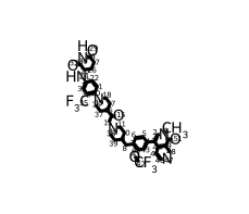 Cn1cc(-c2ccc(CC3CCN(CC(=O)C4CCN(c5ccc(NC6CCC(=O)NC6=O)cc5C(F)(F)F)CC4)CC3)c(OC(F)(F)F)c2)c2ccncc2c1=O